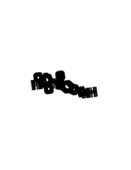 O=C1CCC(N2Cc3cc4c(cc3C2=O)CC2(CNC2)C4)C(=O)N1